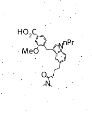 CCCn1cc(Cc2ccc(C(=O)O)cc2OC)c2cc(CCCC(=O)N(C)C)ccc21